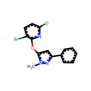 Cn1nc(-c2ccccc2)cc1Oc1nc(Cl)ccc1Br